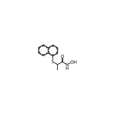 CC(Sc1cccc2ccccc12)C(=O)NO